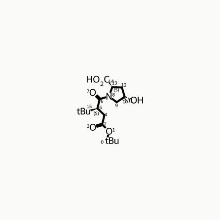 CC(C)(C)OC(=O)C[C@H](C(=O)N1C[C@@H](O)C[C@H]1C(=O)O)C(C)(C)C